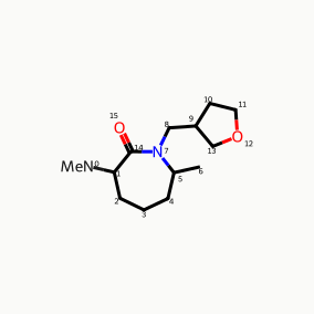 CNC1CCCC(C)N(CC2CCOC2)C1=O